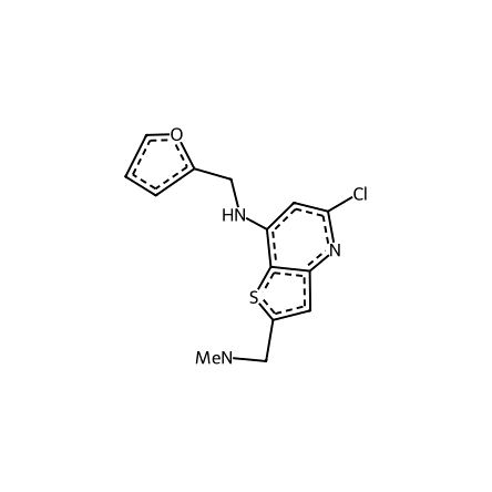 CNCc1cc2nc(Cl)cc(NCc3ccco3)c2s1